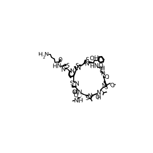 CNC(=O)C[C@@H]1NC(=O)c2csc(n2)-c2ccc(-c3nc(NC(=O)CCCCN)cs3)nc2-c2csc(n2)-c2csc(n2)[C@H]([C@@H](O)c2ccccc2)NC(=O)CNC(=O)c2nc(sc2COC)[C@@H](C(C)C)NC(=O)c2nc1sc2C